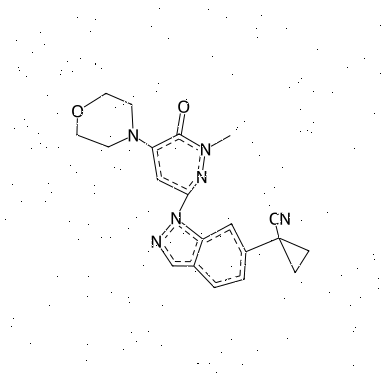 Cn1nc(-n2ncc3ccc(C4(C#N)CC4)cc32)cc(N2CCOCC2)c1=O